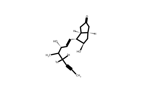 [2H]C([2H])(C#CC)C(C)[C@H](O)/C=C/[C@@H]1[C@H]2CC(=O)C[C@H]2C[C@H]1O